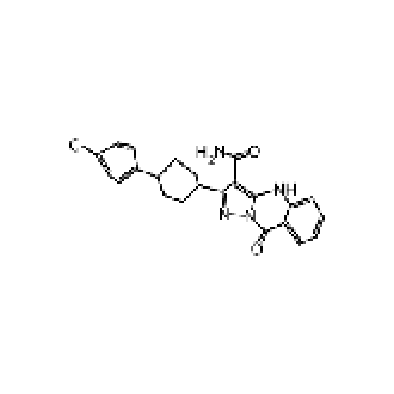 NC(=O)c1c(C2CCC(c3ccc(Cl)cc3)CC2)nn2c(=O)c3ccccc3[nH]c12